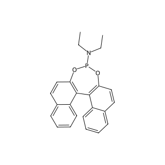 CCN(CC)p1oc2ccc3ccccc3c2c2c(ccc3ccccc32)o1